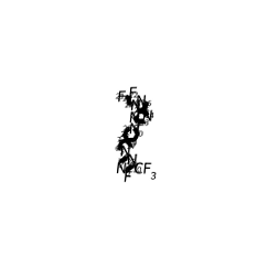 Fc1ncc(N2CCC3(CCN(c4cnc5cnn(CC(F)F)c5n4)CC3)C2)nc1C(F)(F)F